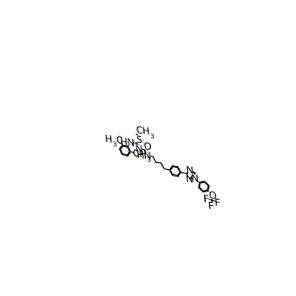 CCS/C(=N\C(=O)NCCCCc1ccc(-c2ncn(-c3ccc(OC(F)(F)F)cc3)n2)cc1)Nc1c(C)cccc1C